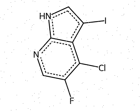 Fc1cnc2[nH]cc(I)c2c1Cl